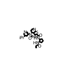 C=CC(=O)N[C@@H]1CCC[C@H]1NC(=O)c1sc2nccc3c2c1NC(=O)N3c1cncc(C(C)C)c1